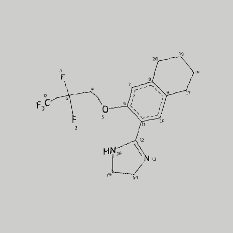 FC(F)(F)C(F)(F)COc1cc2c(cc1C1=NCCN1)CCCC2